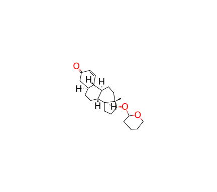 C[C@]12CC[C@@H]3[C@H]4C=CC(=O)C[C@@H]4CC[C@H]3[C@@H]1CC[C@@H]2OC1CCCCO1